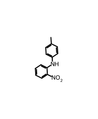 Cc1ccc(Nc2ccccc2[N+](=O)[O-])cc1